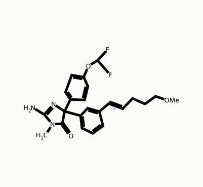 COCCC/C=C/c1cccc(C2(c3ccc(OC(F)F)cc3)N=C(N)N(C)C2=O)c1